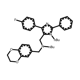 CCCCN(Cc1ccc2c(c1)OCCO2)Cc1c(-c2ccc(F)cc2)nc(-c2ccccc2)n1CCCC